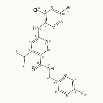 CC(C)c1cc(Nc2ccc(Br)cc2Cl)ncc1C(=O)NCc1ccc(F)cc1